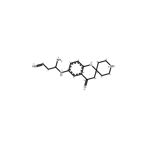 N=CCC(N)Nc1ccc2c(c1)C(=O)CC1(CCNCC1)O2